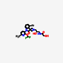 Cc1ccc(NC(=O)C2(c3ccccc3C(C)C)CN(C[C@@H](O)CNC(=O)CO)C2)c(OC(F)F)n1